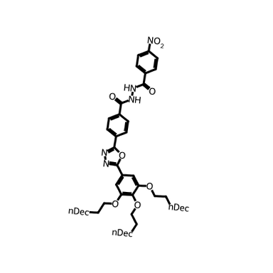 CCCCCCCCCCCCOc1cc(-c2nnc(-c3ccc(C(=O)NNC(=O)c4ccc([N+](=O)[O-])cc4)cc3)o2)cc(OCCCCCCCCCCCC)c1OCCCCCCCCCCCC